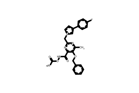 CCCC(=O)ONC(=O)c1nc(Cn2ccc(-c3ccc(F)cc3)c2)nc(C)c1OCc1ccccc1